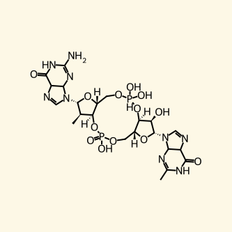 CC1=NC2C(N=CN2[C@@H]2O[C@@H]3COP(=O)(O)O[C@H]4[C@@H](C)[C@H](N5C=NC6C(=O)NC(N)=NC65)O[C@@H]4CO[PH](O)(O)O[C@H]3[C@H]2O)C(=O)N1